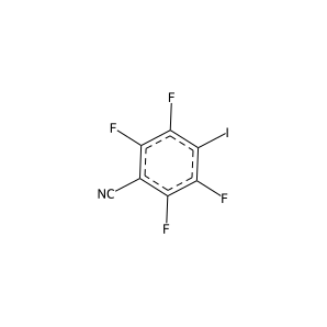 N#Cc1c(F)c(F)c(I)c(F)c1F